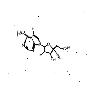 [C-]#[N+]C1(CO)OC(n2cc(F)c3c(O)ncnc32)C(F)C1O